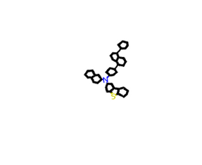 c1ccc(-c2cccc3c(-c4ccc(N(c5ccc6ccccc6c5)c5ccc6sc7ccccc7c6c5)cc4)cccc23)cc1